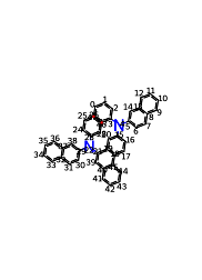 c1ccc(N(c2ccc3ccccc3c2)c2ccc3c(c2)c(N(c2ccccc2)c2ccc4ccccc4c2)cc2ccccc23)cc1